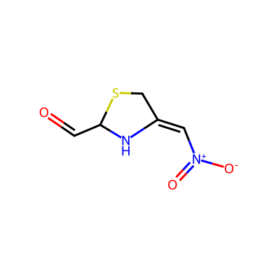 O=CC1NC(=C[N+](=O)[O-])CS1